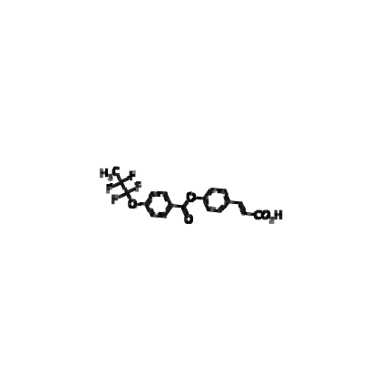 CC(F)(F)C(F)(F)Oc1ccc(C(=O)Oc2ccc(C=CC(=O)O)cc2)cc1